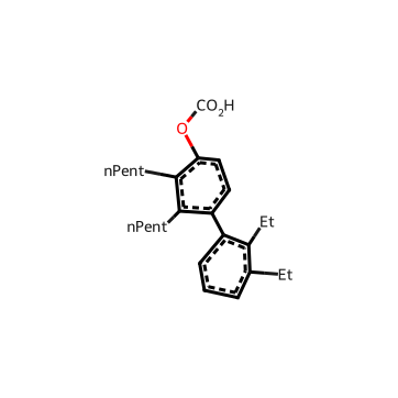 CCCCCc1c(OC(=O)O)ccc(-c2cccc(CC)c2CC)c1CCCCC